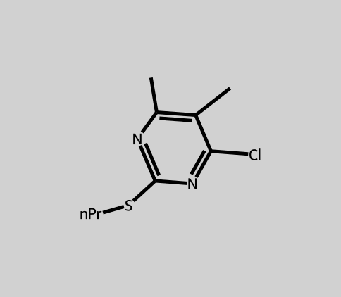 CCCSc1nc(C)c(C)c(Cl)n1